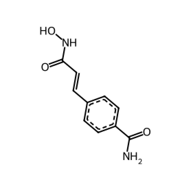 NC(=O)c1ccc(C=CC(=O)NO)cc1